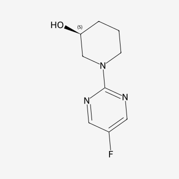 O[C@H]1CCCN(c2ncc(F)cn2)C1